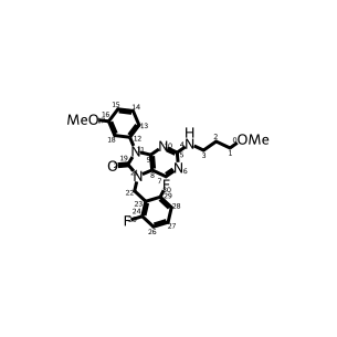 COCCCNc1ncc2c(n1)n(-c1cccc(OC)c1)c(=O)n2Cc1c(F)cccc1F